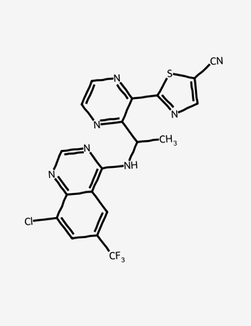 CC(Nc1ncnc2c(Cl)cc(C(F)(F)F)cc12)c1nccnc1-c1ncc(C#N)s1